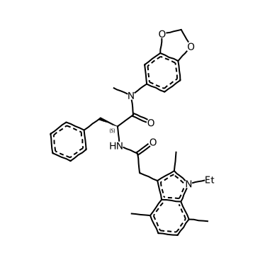 CCn1c(C)c(CC(=O)N[C@@H](Cc2ccccc2)C(=O)N(C)c2ccc3c(c2)OCO3)c2c(C)ccc(C)c21